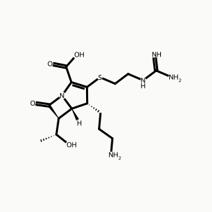 C[C@@H](O)[C@H]1C(=O)N2C(C(=O)O)=C(SCCNC(=N)N)[C@H](CCCN)[C@H]12